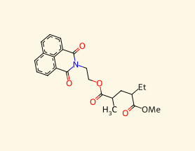 CCC(CC(C)C(=O)OCCN1C(=O)c2cccc3cccc(c23)C1=O)C(=O)OC